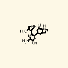 Cc1c[nH]cc1-c1nc(N)c(C#N)nc1-c1cc(Cl)c2[nH]ncc2c1